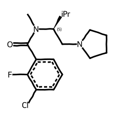 CC(C)[C@@H](CN1CCCC1)N(C)C(=O)c1cccc(Cl)c1F